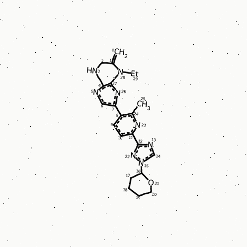 C=C1CNc2ncc(-c3ccc(-c4ncn(C5CCCCO5)n4)nc3C)nc2N1CC